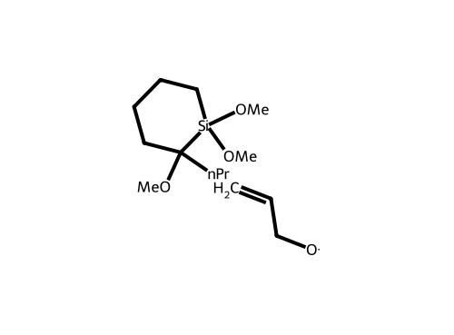 C=CC[O].CCCC1(OC)CCCC[Si]1(OC)OC